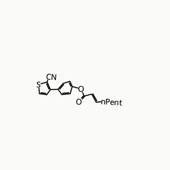 CCCCCC=CC(=O)Oc1ccc(-c2ccsc2C#N)cc1